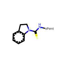 CCCCCNC(=S)N1CCc2ccccc21